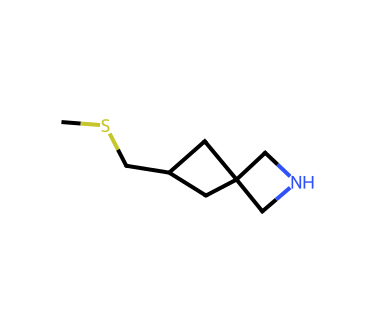 CSCC1CC2(CNC2)C1